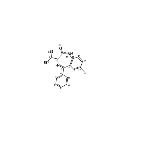 CCC(CC)C1N=C(c2ccccc2)c2cc(C)ccc2NC1=O